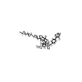 CCOCCOCCOCC(=O)NC(C(=O)N1C[C@H](O)C[C@H]1C(=O)NCc1ccc(-c2scnc2C)cc1)C(C)(C)C